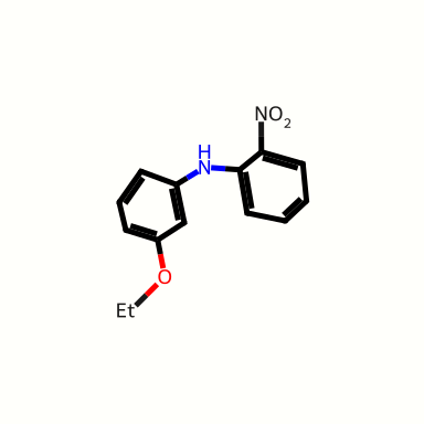 CCOc1cccc(Nc2ccccc2[N+](=O)[O-])c1